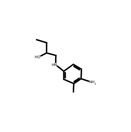 CCC(O)CNc1ccc(N)c(C)c1